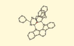 c1ccc(-c2cc(-n3c4ccccc4c4ccc5c6ccccc6n(-c6cccc7c6oc6ccccc67)c5c43)nc(-c3ccccc3)n2)cc1